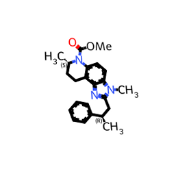 COC(=O)N1c2ccc3c(nc(C[C@@H](C)c4ccccc4)n3C)c2CC[C@@H]1C